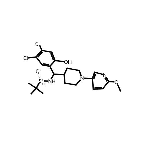 COc1ccc(N2CCC(C(N[S@@+]([O-])C(C)(C)C)c3cc(Cl)c(Cl)cc3O)CC2)cn1